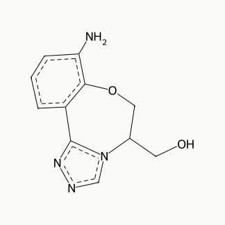 Nc1cccc2c1OCC(CO)n1cnnc1-2